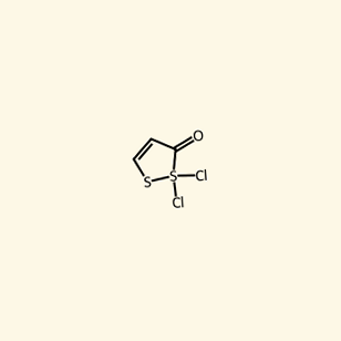 O=C1C=CSS1(Cl)Cl